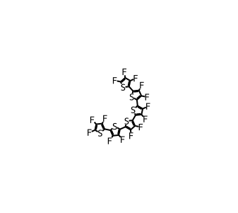 Fc1sc(-c2sc(-c3sc(-c4sc(-c5sc(-c6sc(F)c(F)c6F)c(F)c5F)c(F)c4F)c(F)c3F)c(F)c2F)c(F)c1F